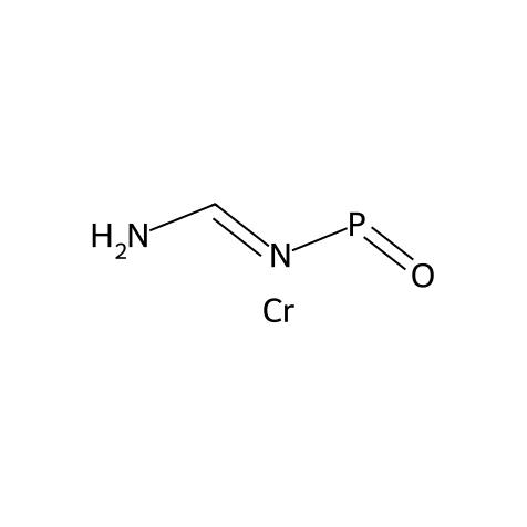 NC=NP=O.[Cr]